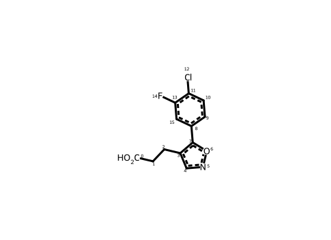 O=C(O)CCc1cnoc1-c1ccc(Cl)c(F)c1